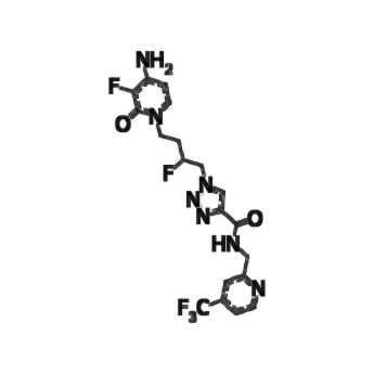 Nc1ccn(CCC(F)Cn2cc(C(=O)NCc3cc(C(F)(F)F)ccn3)nn2)c(=O)c1F